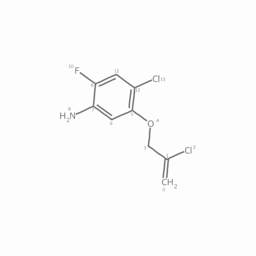 C=C(Cl)COc1cc(N)c(F)cc1Cl